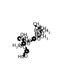 C=CCOC(=O)N[C@H](C(=O)N[C@@H](C)C(=O)Nc1ccc(COC(=O)Nc2cc(OCc3cccc(CC(=O)O)c3)c(OC)cc2C(=O)N2CCCC[C@H]2CO)cc1)C(C)C